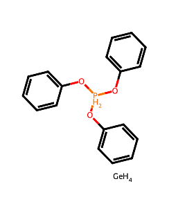 [GeH4].c1ccc(O[PH2](Oc2ccccc2)Oc2ccccc2)cc1